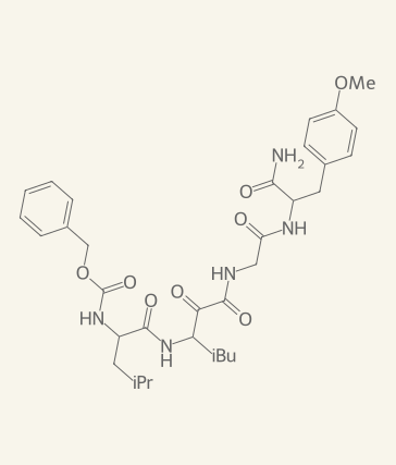 CCC(C)C(NC(=O)C(CC(C)C)NC(=O)OCc1ccccc1)C(=O)C(=O)NCC(=O)NC(Cc1ccc(OC)cc1)C(N)=O